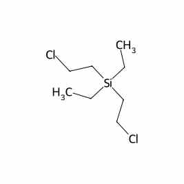 CC[Si](CC)(CCCl)CCCl